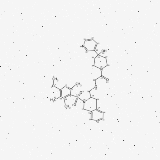 COc1cc(C)c(S(=O)(=O)N2Cc3ccccc3CC2COCC(=O)N2CCC(O)(c3cccnc3)CC2)c(C)c1C